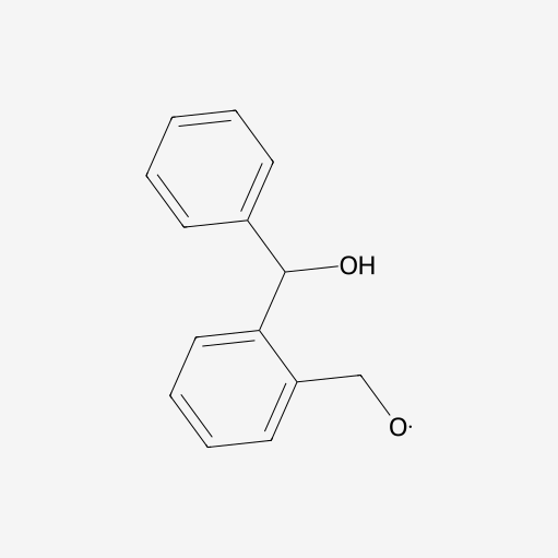 [O]Cc1ccccc1C(O)c1ccccc1